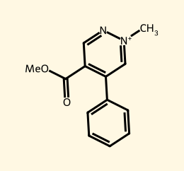 COC(=O)c1cn[n+](C)cc1-c1ccccc1